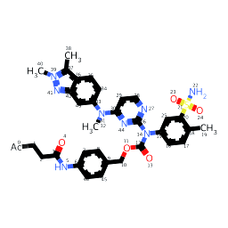 CC(=O)CCC(=O)Nc1ccc(COC(=O)N(c2ccc(C)c(S(N)(=O)=O)c2)c2nccc(N(C)c3ccc4c(C)n(C)nc4c3)n2)cc1